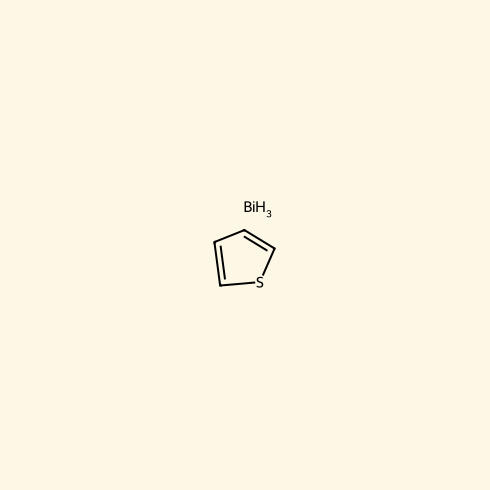 [BiH3].c1ccsc1